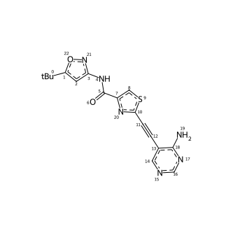 CC(C)(C)c1cc(NC(=O)c2csc(C#Cc3cncnc3N)n2)no1